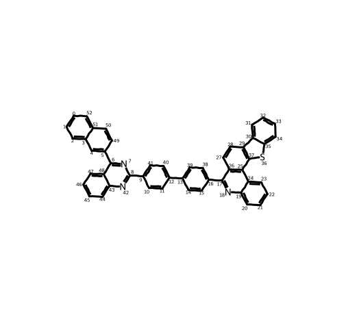 c1ccc2cc(-c3nc(-c4ccc(-c5ccc(-c6nc7ccccc7c7c6ccc6c8ccccc8sc67)cc5)cc4)nc4ccccc34)ccc2c1